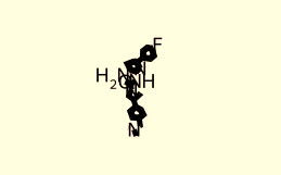 CN(C)Cc1ccc(C2CN(C(=O)Nc3nc(-c4ccc(F)cc4)ccc3N)C2)cc1